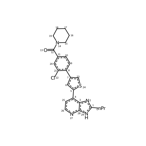 CCCc1nc2c(-c3cc(-c4ccc(C(=O)N5CCCCC5)cc4Cl)cs3)ccnc2[nH]1